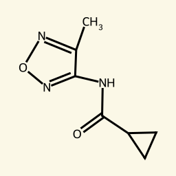 Cc1nonc1NC(=O)C1CC1